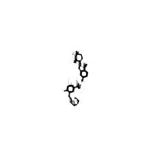 Cc1ccc(C(=O)NCc2ccc3c(c2)CN(C2CCC(=O)NC2=O)C3=O)cc1CN1CCOCC1